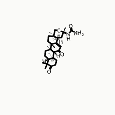 CC1(C)C(=O)CC[C@]2(C)[C@H]3C(=O)C=C4[C@@H]5C[C@@](C)(NC(N)=O)CC[C@]5(C)CC[C@@]4(C)[C@]3(C)CC[C@@H]12